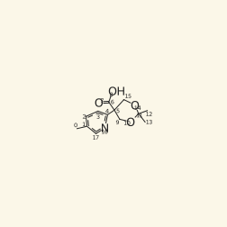 Cc1ccc(C2(C(=O)O)COC(C)(C)OC2)nc1